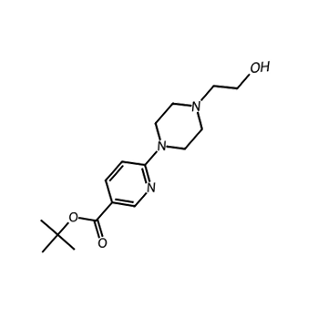 CC(C)(C)OC(=O)c1ccc(N2CCN(CCO)CC2)nc1